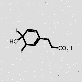 O=C(O)CCC1=CC(I)C(O)(I)C=C1